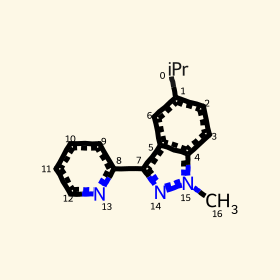 CC(C)c1ccc2c(c1)c(-c1ccccn1)nn2C